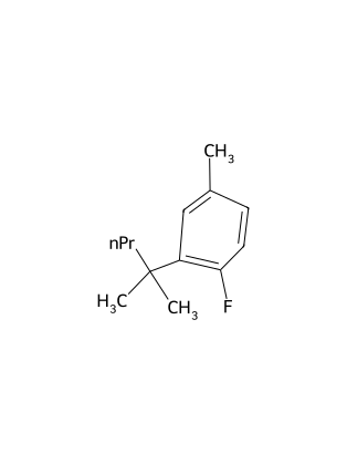 CCCC(C)(C)c1cc(C)ccc1F